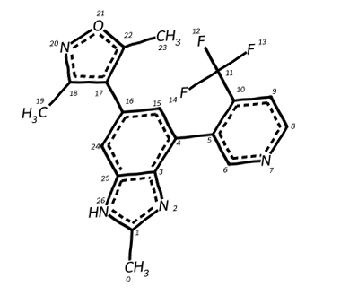 Cc1nc2c(-c3cnccc3C(F)(F)F)cc(-c3c(C)noc3C)cc2[nH]1